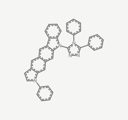 c1ccc(-c2nnc(-n3c4ccccc4c4cc5cc6ccn(-c7ccccc7)c6cc5cc43)n2-c2ccccc2)cc1